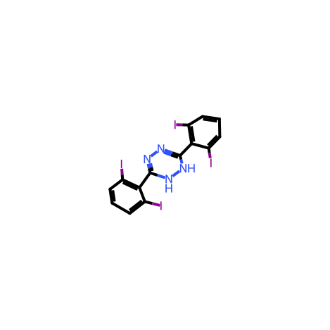 Ic1cccc(I)c1C1=NN=C(c2c(I)cccc2I)NN1